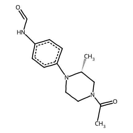 CC(=O)N1CCN(c2ccc(NC=O)cc2)[C@H](C)C1